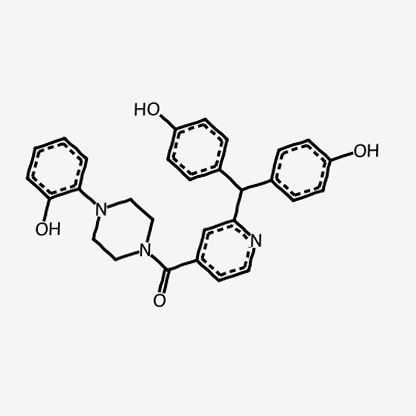 O=C(c1ccnc(C(c2ccc(O)cc2)c2ccc(O)cc2)c1)N1CCN(c2ccccc2O)CC1